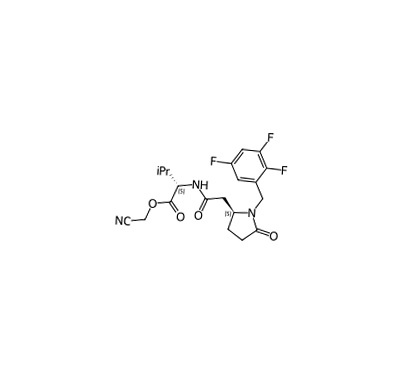 CC(C)[C@H](NC(=O)C[C@@H]1CCC(=O)N1Cc1cc(F)cc(F)c1F)C(=O)OCC#N